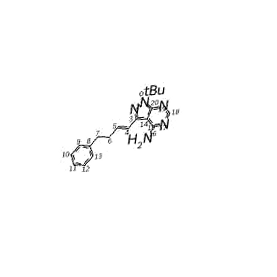 CC(C)(C)n1nc(/C=C/CCc2ccccc2)c2c(N)ncnc21